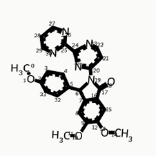 COc1ccc(C2c3cc(OC)c(OC)cc3C(=O)N2c2ccnc(-c3ncccn3)n2)cc1